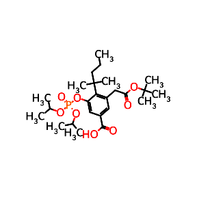 CCCC(C)(C)c1c(CC(=O)OC(C)(C)C)cc(C(=O)O)cc1OP(=O)(OC(C)C)OC(C)C